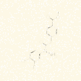 COC(=O)c1ccc(CC(=O)N(N)c2ccc(Cl)c(F)c2)cc1